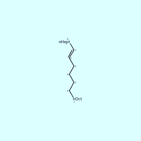 [CH2]CCCCCC/C=C/CCCCCCCCCCCC